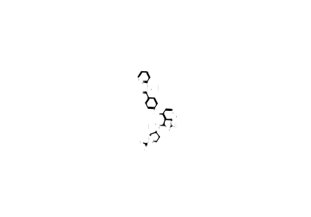 CCC(=O)N1CCC(Nc2n[nH]c3nccc(Oc4ccc(C(=O)Nc5cc(C(F)(F)F)ccn5)cc4)c23)C1